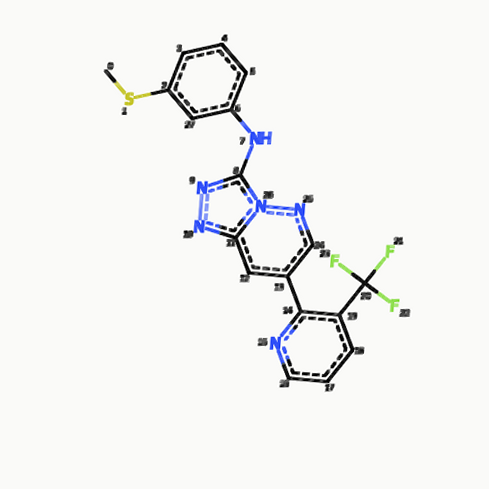 CSc1cccc(Nc2nnc3cc(-c4ncccc4C(F)(F)F)cnn23)c1